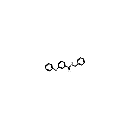 O=C(N[CH]c1ccccc1)c1cccc(Oc2ccccc2)c1